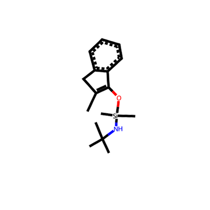 CC1=C(O[Si](C)(C)NC(C)(C)C)c2ccccc2C1